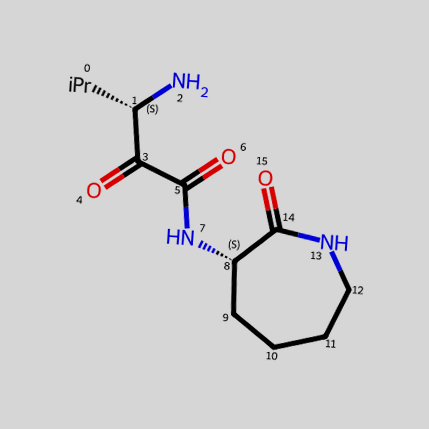 CC(C)[C@H](N)C(=O)C(=O)N[C@H]1CCCCNC1=O